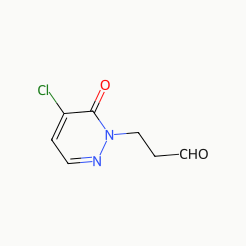 O=CCCn1nccc(Cl)c1=O